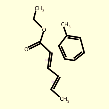 C/C=C/C=C/C(=O)OCC.Cc1ccccc1